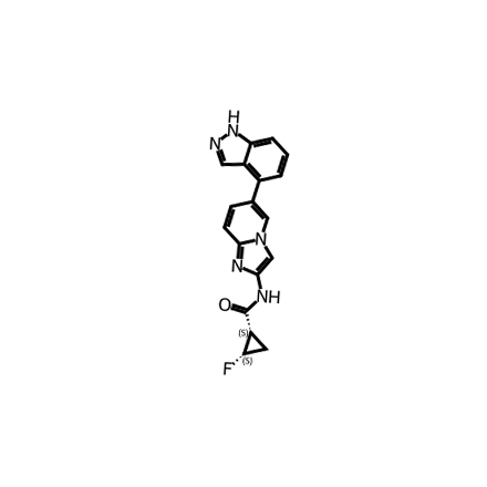 O=C(Nc1cn2cc(-c3cccc4[nH]ncc34)ccc2n1)[C@@H]1C[C@@H]1F